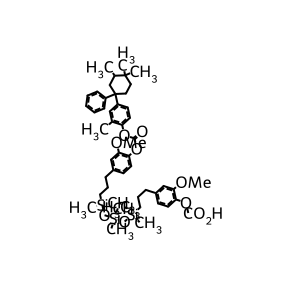 COc1cc(CCC[Si](C)(C)O[Si](C)(C)O[Si](C)(C)CCCc2ccc(OC(=O)Oc3ccc(C4(c5ccccc5)CCC(C)(C)C(C)C4)cc3C)c(OC)c2)ccc1OC(=O)O